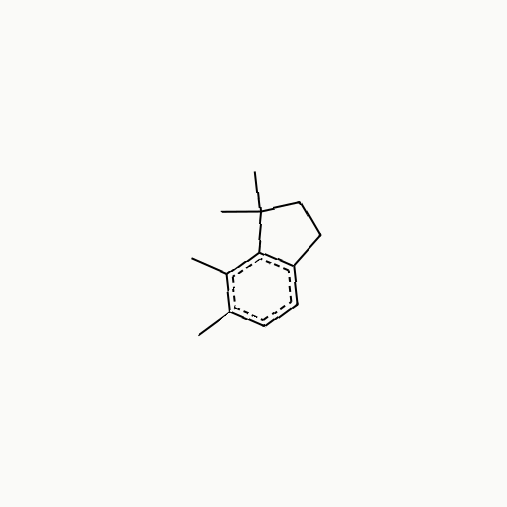 Cc1ccc2c(c1C)C(C)(C)CC2